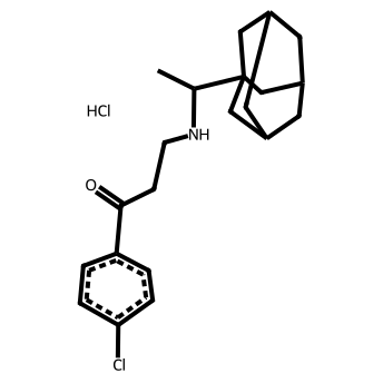 CC(NCCC(=O)c1ccc(Cl)cc1)C12CC3CC(CC(C3)C1)C2.Cl